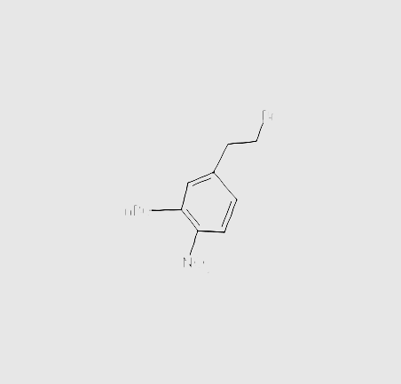 CCCCc1cc(CCBr)ccc1[N+](=O)[O-]